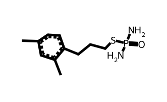 Cc1ccc(CCCSP(N)(N)=O)c(C)c1